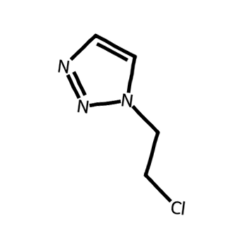 ClCCn1ccnn1